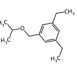 CCc1cc(CC)cc(COC(C)C)c1